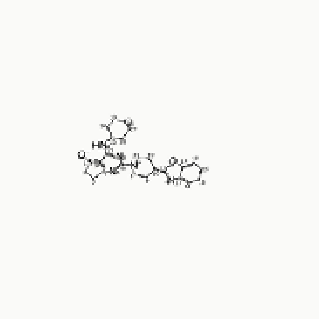 [O-][S+]1CCc2nc(N3CCC(c4nc5ccccc5o4)CC3)nc(NC3CCOCC3)c21